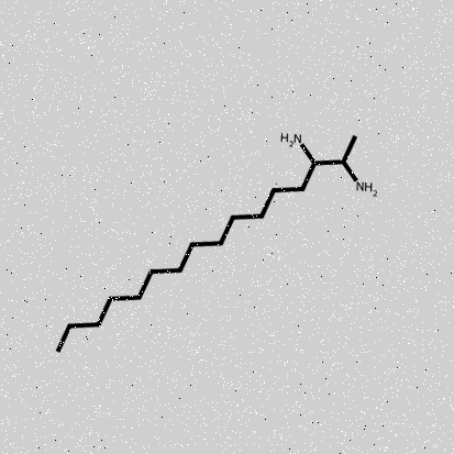 CCCCCCCCCCCCCC(N)C(C)N